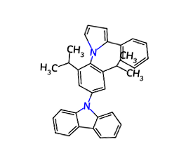 CC(C)c1cc(-n2c3ccccc3c3ccccc32)cc(C(C)C)c1-n1cccc1-c1ccccc1